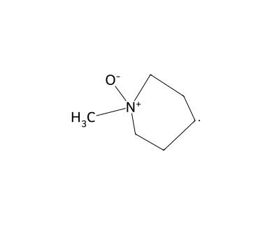 C[N+]1([O-])CC[CH]CC1